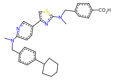 CN(Cc1ccc(C2CCCCC2)cc1)c1ccc(-c2csc(N(C)Cc3ccc(C(=O)O)cc3)n2)cn1